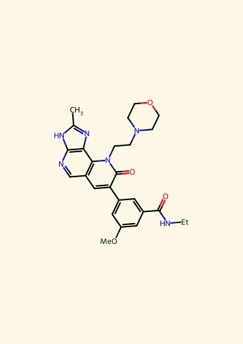 CCNC(=O)c1cc(OC)cc(-c2cc3cnc4[nH]c(C)nc4c3n(CCN3CCOCC3)c2=O)c1